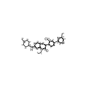 CCn1c(=O)c(-c2ccc(-c3cncc(C)n3)cc2Cl)cc2cnc(NC3CCN(C)CC3)nc21